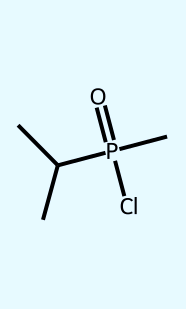 CC(C)P(C)(=O)Cl